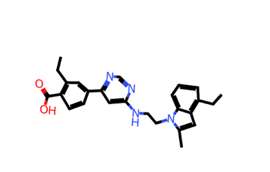 CCc1cc(-c2cc(NCCn3c(C)cc4c(CC)cccc43)ncn2)ccc1C(=O)O